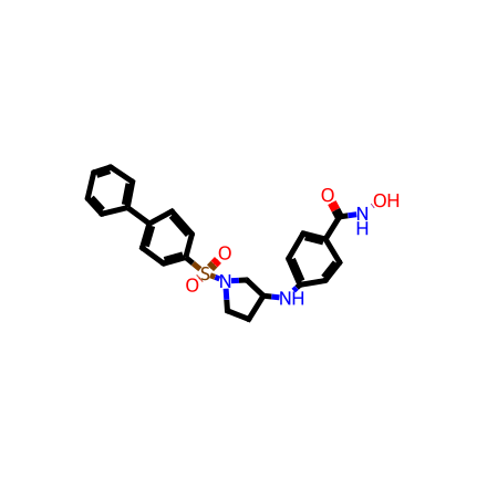 O=C(NO)c1ccc(NC2CCN(S(=O)(=O)c3ccc(-c4ccccc4)cc3)C2)cc1